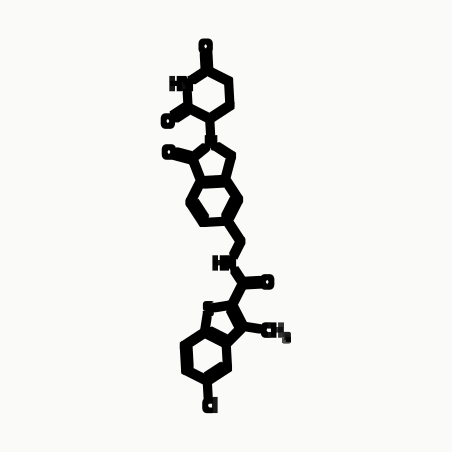 Cc1c(C(=O)NCc2ccc3c(c2)CN(C2CCC(=O)NC2=O)C3=O)sc2ccc(Cl)cc12